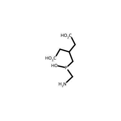 NCP(O)CC(CC(=O)O)CC(=O)O